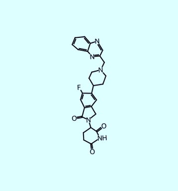 O=C1CCC(N2Cc3cc(C4CCN(Cc5cnc6ccccc6n5)CC4)c(F)cc3C2=O)C(=O)N1